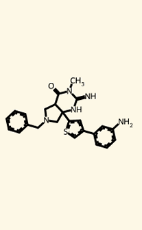 CN1C(=N)NC2(c3cc(-c4cccc(N)c4)cs3)CN(Cc3ccccc3)CC2C1=O